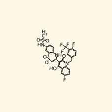 CS(=O)(=O)Nc1ccc2c(c1)S(=O)(=O)C=C(c1c(O)c3cc(F)ccc3n(Cc3ccc(F)c(C(F)(F)F)c3)c1=O)N2